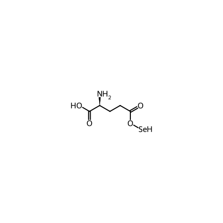 N[C@@H](CCC(=O)O[SeH])C(=O)O